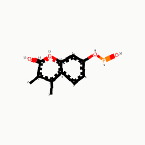 Cc1c(C)c2ccc(OP=O)cc2oc1=O